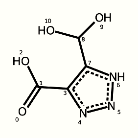 O=C(O)c1nn[nH]c1C(O)O